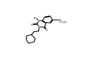 CCn1c(=O)n(CCC2CCCCC2)c(=O)c2cc(NC(=O)O)ccc21